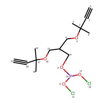 C#CC(C)(C)OCC(COP(OCl)OCl)COC(C)(C)C#C